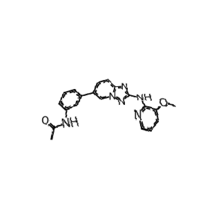 COc1cccnc1Nc1nc2ccc(-c3cccc(NC(C)=O)c3)cn2n1